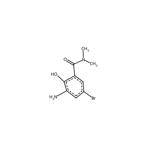 CN(C)C(=O)c1cc(Br)cc(N)c1O